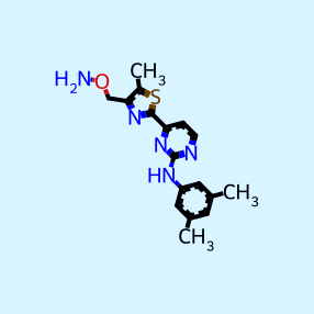 Cc1cc(C)cc(Nc2nccc(-c3nc(CON)c(C)s3)n2)c1